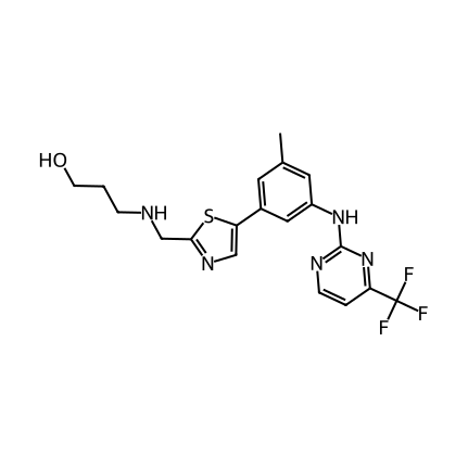 Cc1cc(Nc2nccc(C(F)(F)F)n2)cc(-c2cnc(CNCCCO)s2)c1